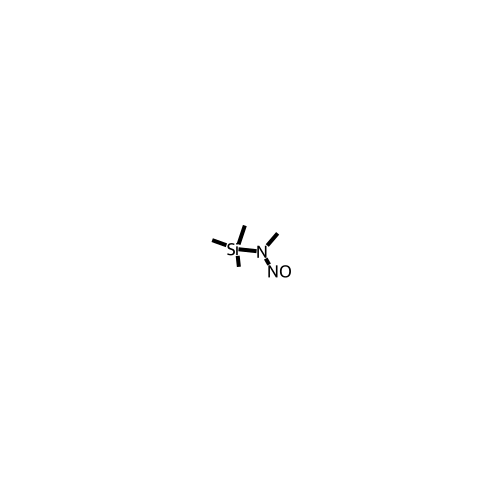 CN(N=O)[Si](C)(C)C